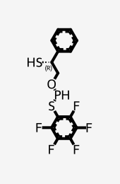 Fc1c(F)c(F)c(SPOC[C@H](S)c2ccccc2)c(F)c1F